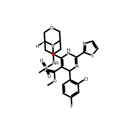 COC(=O)C1=C(CN2C3COC[C@H]2CC(NS(C)(=O)=O)C3)NC(c2nccs2)=NC1c1ccc(F)cc1Cl